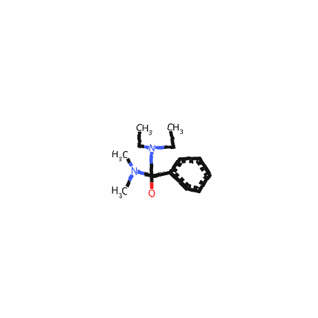 CCN(CC)C([O])(c1ccccc1)N(C)C